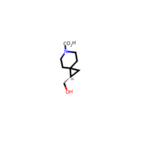 O=C(O)N1CCC2(CC1)C[C@@H]2CO